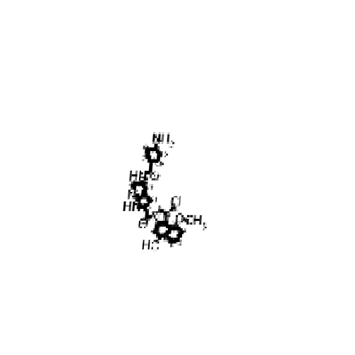 COc1cccc2c(O)cc3c(c12)[C@H](CCl)CN3C(=O)c1cc2cc(NC(=O)c3ccc(N)cc3)cnc2[nH]1